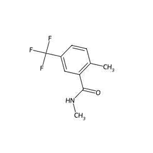 CNC(=O)c1cc(C(F)(F)F)ccc1C